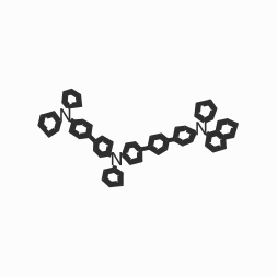 c1ccc(N(c2ccccc2)c2ccc(-c3ccc(N(c4ccccc4)c4ccc(-c5ccc(-c6ccc(N(c7ccccc7)c7cccc8ccccc78)cc6)cc5)cc4)cc3)cc2)cc1